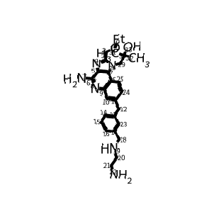 CCOCc1nc2c(N)nc3cc(Cc4cccc(CNCCN)c4)ccc3c2n1CC(C)(C)O